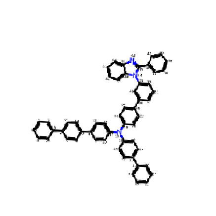 c1ccc(-c2ccc(-c3ccc(N(c4ccc(-c5ccccc5)cc4)c4ccc(-c5cccc(-n6c(-c7ccccc7)nc7ccccc76)c5)cc4)cc3)cc2)cc1